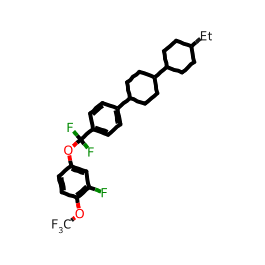 CCC1CCC(C2CCC(c3ccc(C(F)(F)Oc4ccc(OC(F)(F)F)c(F)c4)cc3)CC2)CC1